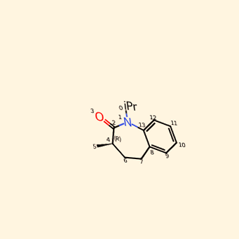 CC(C)N1C(=O)[C@H](C)CCc2ccccc21